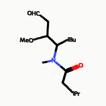 CCC(C)C(C(CC=O)OC)N(C)C(=O)CC(C)C